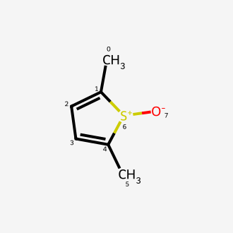 Cc1ccc(C)[s+]1[O-]